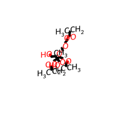 C=C(C)C(=O)OCCOCCOC(COC(=O)C(=C)C)C(CO)(COC(=O)C(=C)C)C(C)CO